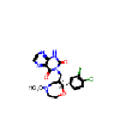 O=C(O)N1CCO[C@@H](c2ccc(Cl)c(F)c2)[C@H](Cn2c(=O)[nH]c3nccnc3c2=O)C1